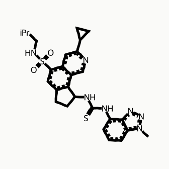 CC(C)CNS(=O)(=O)c1cc2c(c3cnc(C4CC4)cc13)C(NC(=S)Nc1cccc3c1nnn3C)CC2